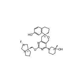 C[C@@]1(O)CCCN(c2nc(OC[C@@]34CCCN3C[C@H](F)C4)nc3c2CO[C@]2(CCCc4ccc(O)cc42)C3)C1